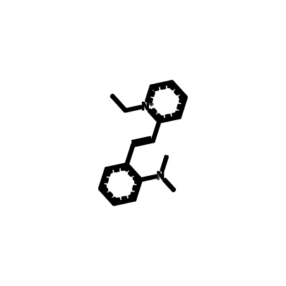 CC[n+]1ccccc1/C=C/c1ccccc1N(C)C